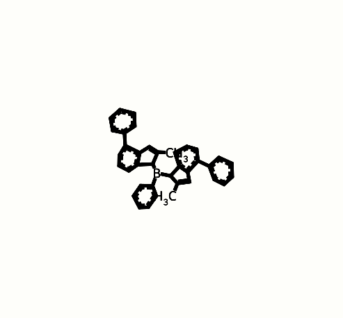 CC1=Cc2c(-c3ccccc3)cccc2C1B(c1ccccc1)C1C(C)=Cc2c(-c3ccccc3)cccc21